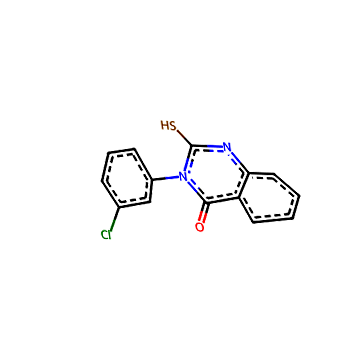 O=c1c2ccccc2nc(S)n1-c1cccc(Cl)c1